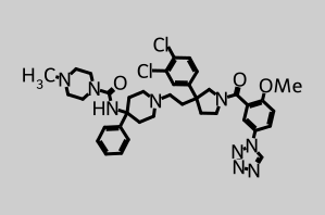 COc1ccc(-n2cnnn2)cc1C(=O)N1CCC(CCN2CCC(NC(=O)N3CCN(C)CC3)(c3ccccc3)CC2)(c2ccc(Cl)c(Cl)c2)C1